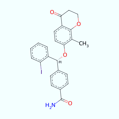 Cc1c(O[C@H](c2ccc(C(N)=O)cc2)c2ccccc2I)ccc2c1OCCC2=O